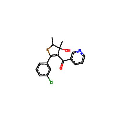 CC1SC(c2cccc(Cl)c2)=C(C(=O)c2cccnc2)C1(C)O